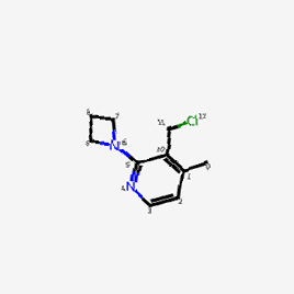 Cc1ccnc(N2CCC2)c1CCl